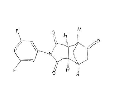 O=C1C[C@@H]2CC[C@H]1[C@@H]1C(=O)N(c3cc(F)cc(F)c3)C(=O)[C@H]21